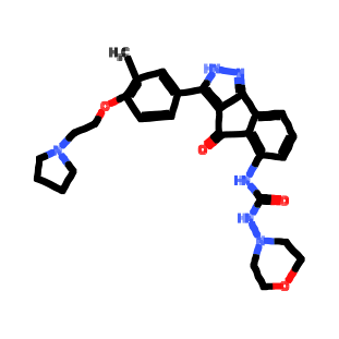 Cc1cc(-c2[nH]nc3c2C(=O)c2c(NC(=O)NN4CCOCC4)cccc2-3)ccc1OCCN1CCCC1